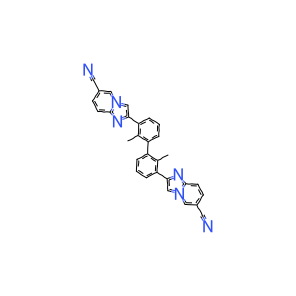 Cc1c(-c2cn3cc(C#N)ccc3n2)cccc1-c1cccc(-c2cn3cc(C#N)ccc3n2)c1C